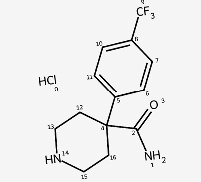 Cl.NC(=O)C1(c2ccc(C(F)(F)F)cc2)CCNCC1